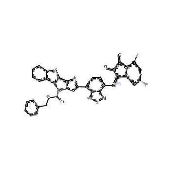 O=C(OCc1ccccc1)n1c2cc(-c3ccc(/N=c4\c(=O)c(=O)c5c(F)cc(F)cc45)c4nsnc34)sc2c2sc3ccccc3c21